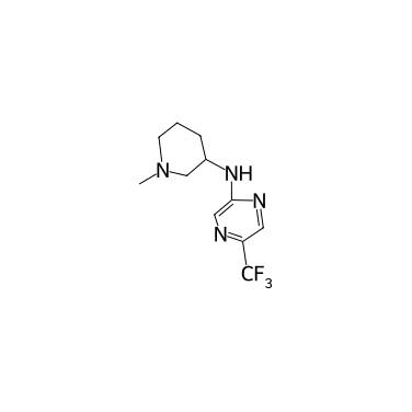 CN1CCCC(Nc2cnc(C(F)(F)F)cn2)C1